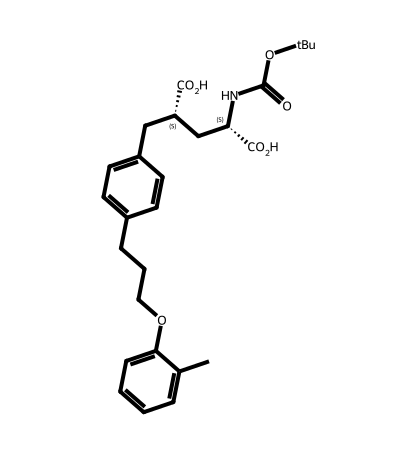 Cc1ccccc1OCCCc1ccc(C[C@@H](C[C@H](NC(=O)OC(C)(C)C)C(=O)O)C(=O)O)cc1